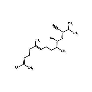 CC(C)=CCCC(C)=CCCC(C)=C(O)C=C(C#N)C(C)C